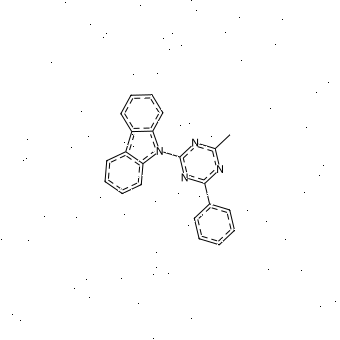 Cc1nc(-c2ccccc2)nc(-n2c3ccccc3c3ccccc32)n1